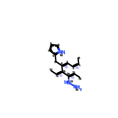 C\C=C/C=C(Cc1ccc[nH]1)\C(=C/C)C(=C\C)\NN